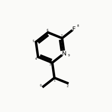 CC(C)c1cccc(F)n1